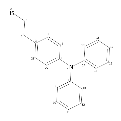 SCCc1ccc(N(c2ccccc2)c2ccccc2)cc1